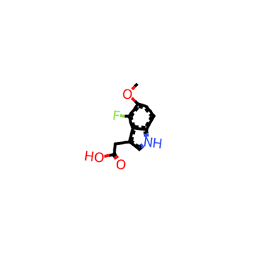 COc1ccc2[nH]cc(CC(=O)O)c2c1F